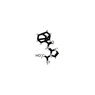 CCC(C(=O)O)n1ccs/c1=N\C(=O)C12CC3CC(CC(C3)C1)C2